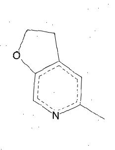 Cc1cc2c(cn1)OCC2